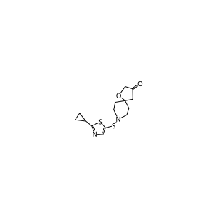 O=C1COC2(CCN(Sc3cnc(C4CC4)s3)CC2)C1